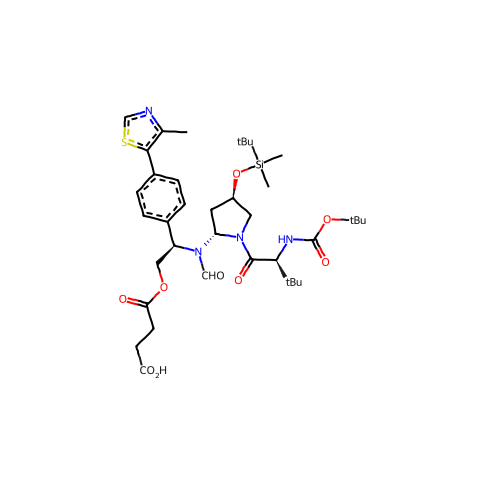 Cc1ncsc1-c1ccc([C@H](COC(=O)CCC(=O)O)N(C=O)[C@@H]2C[C@@H](O[Si](C)(C)C(C)(C)C)CN2C(=O)[C@@H](NC(=O)OC(C)(C)C)C(C)(C)C)cc1